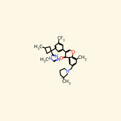 Cc1cc(CN2CCC[C@H](C)C2)cc2c(=O)c(-c3cc(C(F)(F)F)cc(C4(c5nncn5C)CC(C)C4)c3)coc12